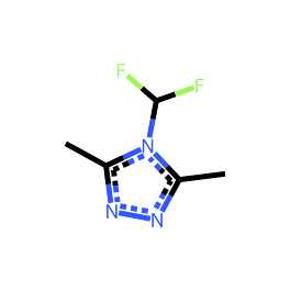 Cc1nnc(C)n1C(F)F